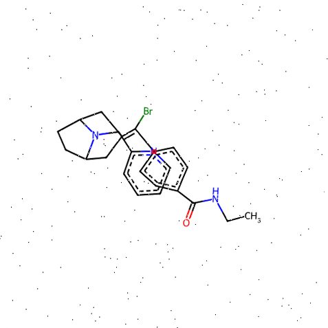 CCNC(=O)c1ccc(C(Br)=C2CC3CCC(C2)N3Cc2ccccn2)cc1